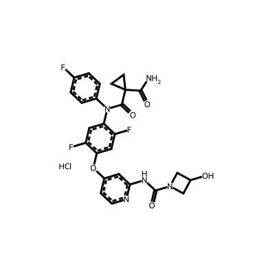 Cl.NC(=O)C1(C(=O)N(c2ccc(F)cc2)c2cc(F)c(Oc3ccnc(NC(=O)N4CC(O)C4)c3)cc2F)CC1